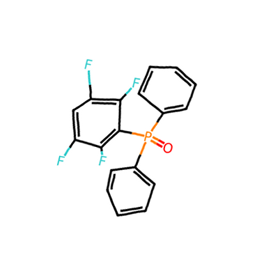 O=P(c1ccccc1)(c1ccccc1)c1c(F)c(F)cc(F)c1F